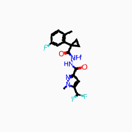 Cc1ccc(F)cc1C1(C(=O)NNC(=O)c2cc(C(F)F)n(C)n2)CC1